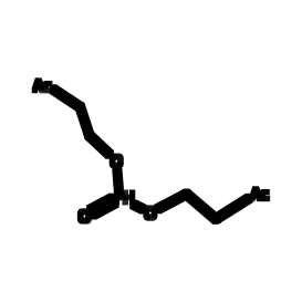 CC(=O)CCO[PH](=O)OCCC(C)=O